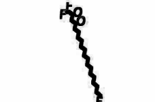 O=C(CCCCCCCCCCCCCCCCF)CC(=O)C(F)F